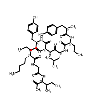 CCC[C@H](NC(=O)[C@H](C)Cc1ccc(O)cc1)C(=O)N[C@H](CC(C)C)C(=O)N[C@@H](CCCCN)C(=O)N[C@H](Cc1ccc(O)cc1)C(=O)N[C@@H](CCCCN)C(=O)NCC(=O)N[C@H](C(C)=O)C(C)CC